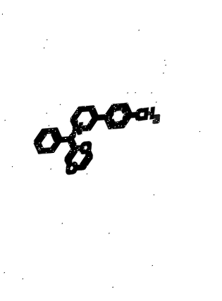 Cc1ccc(C2CCCN(C(C3=CC=CCC3)C3=COC=CO3)C2)cc1